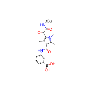 Cc1c(C(=O)Nc2cccc(B(O)O)c2)c(C)n(C)c1C(=O)C(=O)NC(C)(C)C